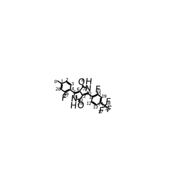 Cc1ccc(C2=C3C(=O)NC(c4ccc(C(F)(F)F)cc4F)=C3C(=O)N2)c(F)c1